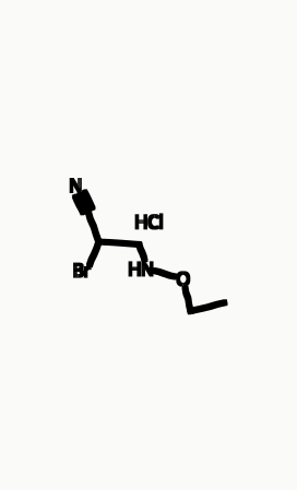 CCONCC(Br)C#N.Cl